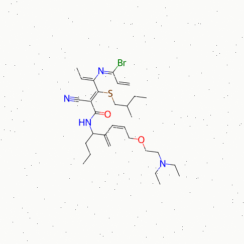 C=C\C(Br)=N/C(=C\C)C(/SCC(C)CC)=C(\C#N)C(=O)NC(CCC)C(=C)/C=C\COCCN(CC)CC